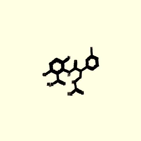 NC(=O)c1c(Cl)ccc(F)c1NC(=O)C(CNC(=O)O)c1cccc(F)c1